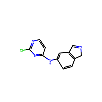 Clc1nccc(Nc2ccc3c(c2)C=NC3)n1